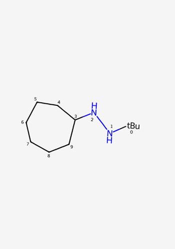 CC(C)(C)NNC1CCCCCC1